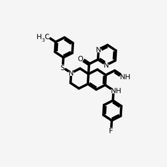 Cc1cccc(SN2CCC3=CC(Nc4ccc(F)cc4)=C(C=N)CC3(C(=O)c3ncccn3)C2)c1